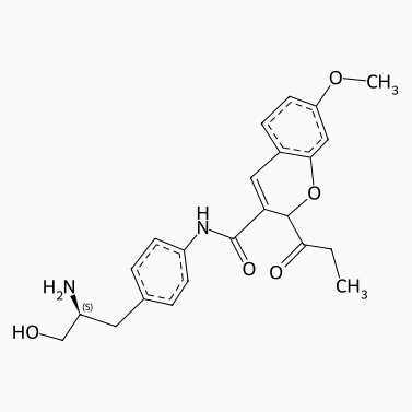 CCC(=O)C1Oc2cc(OC)ccc2C=C1C(=O)Nc1ccc(C[C@H](N)CO)cc1